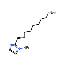 CCCCCCCCCCCCCCC/C=C/c1nccn1C(C)C